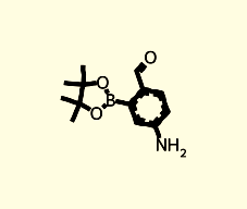 CC1(C)OB(c2cc(N)ccc2C=O)OC1(C)C